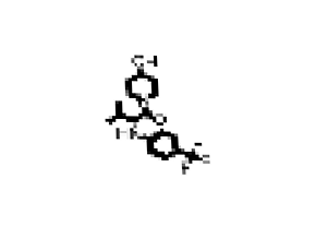 CC(C)[C@@H](Nc1ccc(C(F)(F)F)cc1)C(=O)N1CCC(O)CC1